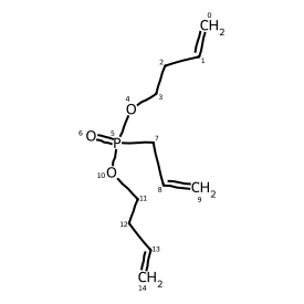 C=CCCOP(=O)(CC=C)OCCC=C